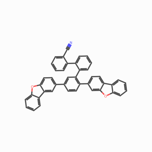 N#Cc1ccccc1-c1ccccc1-c1cc(-c2ccc3oc4ccccc4c3c2)ccc1-c1ccc2c(c1)oc1ccccc12